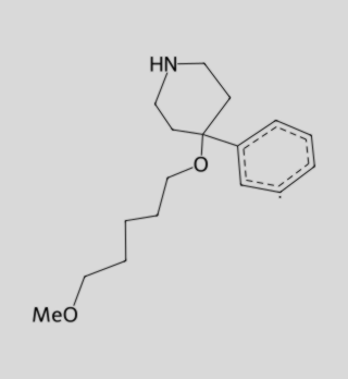 COCCCCCOC1(c2c[c]ccc2)CCNCC1